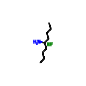 CCCCC(N)CCCC.F